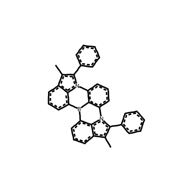 Cc1c(-c2ccccc2)n2c3c(cccc13)B1c3c-2cccc3-n2c(-c3ccccc3)c(C)c3cccc1c32